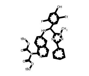 CCc1cc(C(Nc2ccc3c(N(C(=O)OC(C)(C)C)C(=O)OC(C)(C)C)nccc3c2)c2nc(-c3ccccc3)nn2C)c(F)cc1O